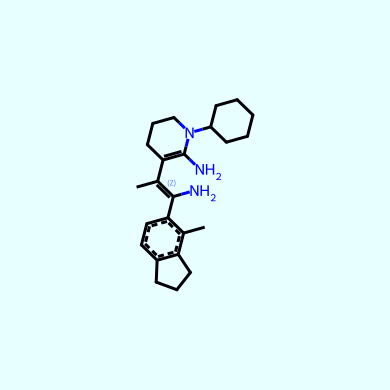 C/C(C1=C(N)N(C2CCCCC2)CCC1)=C(/N)c1ccc2c(c1C)CCC2